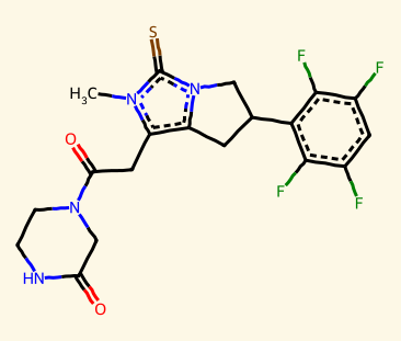 Cn1c(CC(=O)N2CCNC(=O)C2)c2n(c1=S)CC(c1c(F)c(F)cc(F)c1F)C2